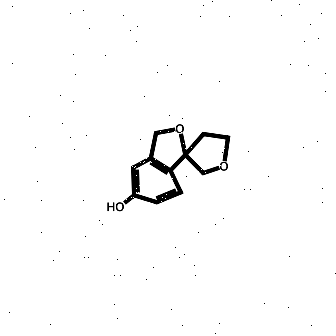 Oc1ccc2c(c1)COC21CCOC1